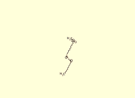 CCCCCCCCCCCC[C@@H]1O[C@@H]1CC[C@@H]1O[C@@H]1CCCCCCCCCCCCC1=CC(C)OC1=O